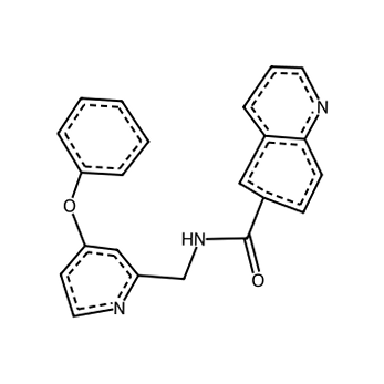 O=C(NCc1cc(Oc2ccccc2)ccn1)c1ccc2ncccc2c1